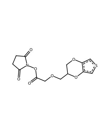 O=C(COCC1COc2cscc2O1)ON1C(=O)CCC1=O